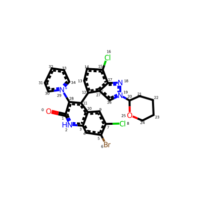 O=c1[nH]c2cc(Br)c(Cl)cc2c(-c2ccc(Cl)c3nn(C4CCCCO4)cc23)c1-[n+]1ccccc1